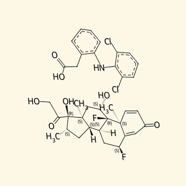 C[C@H]1C[C@H]2[C@@H]3C[C@H](F)C4=CC(=O)C=C[C@]4(C)[C@@]3(F)[C@@H](O)C[C@]2(C)[C@@]1(O)C(=O)CO.O=C(O)Cc1ccccc1Nc1c(Cl)cccc1Cl